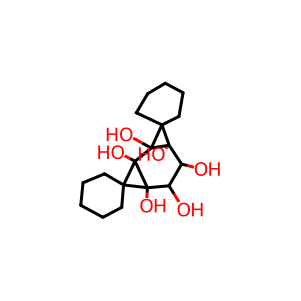 OC1C(O)C2(O)C3(CCCCC3)C2(O)C2(O)C3(CCCCC3)C12O